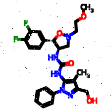 COCCN1C[C@@H](NC(=O)Nc2c(C)c(CO)nn2-c2ccccc2)[C@H](c2ccc(F)c(F)c2)O1